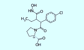 CCC(C(=O)NO)C(C(=O)N1CCC[C@H]1C(=O)O)c1ccc(Cl)cc1